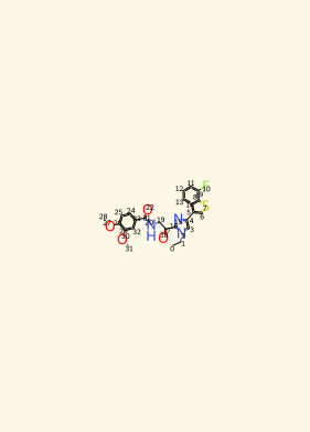 CCn1cc(-c2csc3c(F)cccc23)nc1C(=O)CNC(=O)c1ccc(OC)c(OC)c1